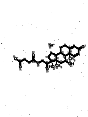 C[C@]12C=CC(=O)C=C1CCC1C2C(O)C[C@@]2(C)C1CC[C@]2(O)C(=O)COC(=O)CCC(=O)[O-].[Na+]